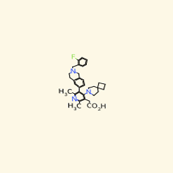 Cc1nc(C)c(-c2ccc3c(c2)CCN(Cc2ccccc2F)C3)c(N2CCC3(CCC3)CC2)c1CC(=O)O